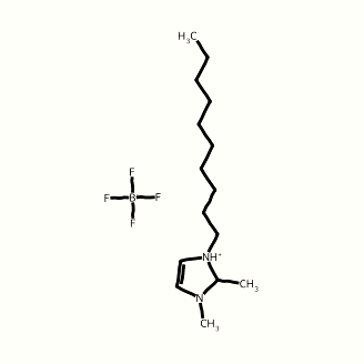 CCCCCCCCCC[NH+]1C=CN(C)C1C.F[B-](F)(F)F